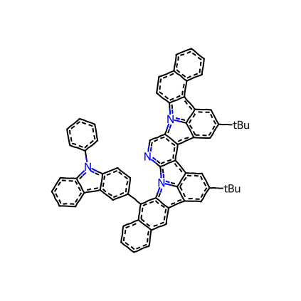 CC(C)(C)c1cc2c3c4ccccc4ccc3n3c4cnc5c(c6cc(C(C)(C)C)cc7c8cc9ccccc9c(-c9ccc%10c(c9)c9ccccc9n%10-c9ccccc9)c8n5c76)c4c(c1)c23